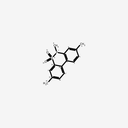 Cc1ccc2c(c1)P(C)S(=O)(=O)c1cc(C)ccc1-2